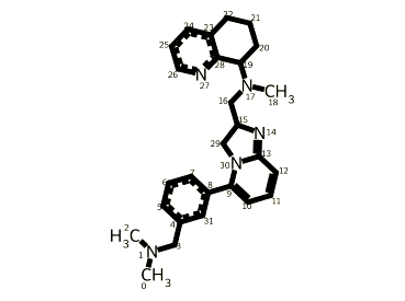 CN(C)Cc1cccc(C2=CC=CC3=NC(CN(C)C4CCCc5cccnc54)CN23)c1